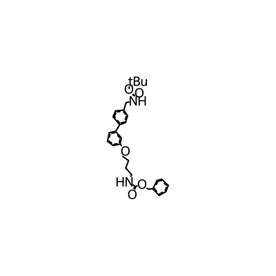 CC(C)(C)OC(=O)NCc1ccc(-c2cccc(OCCCCNC(=O)OCc3ccccc3)c2)cc1